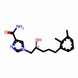 Cc1cccc(CCC[C@H](O)Cn2cnc(C(N)=O)c2)c1C